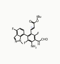 Cn1ncc2c(F)ccc(-c3c(F)c(N)c(NC=O)c(F)c3/C=C/C(=O)OC(C)(C)C)c21